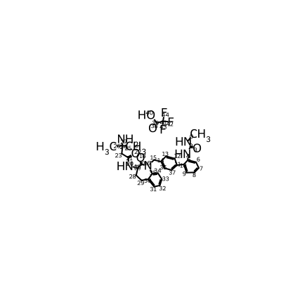 CNC(=O)Nc1ccccc1-c1ccc(CN2C(=O)[C@H](NC(=O)CC(C)(C)N)CCc3ccccc32)cc1.O=C(O)C(F)(F)F